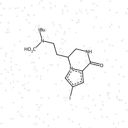 CC(C)(C)N(CCC1CNC(=O)c2cc(I)cn21)C(=O)O